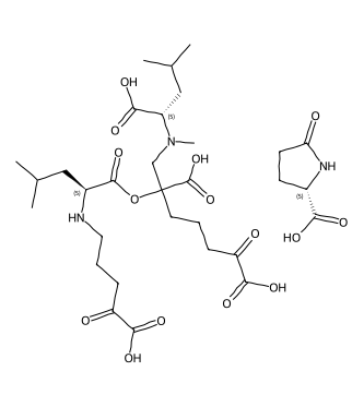 CC(C)C[C@H](NCCCC(=O)C(=O)O)C(=O)OC(CCCC(=O)C(=O)O)(CN(C)[C@@H](CC(C)C)C(=O)O)C(=O)O.O=C1CC[C@@H](C(=O)O)N1